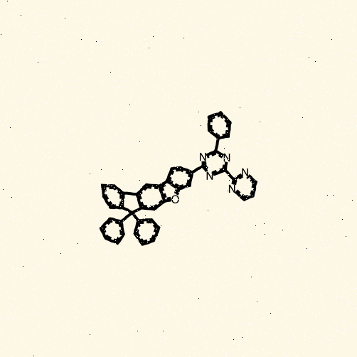 c1ccc(-c2nc(-c3ccc4c(c3)oc3cc5c(cc34)-c3ccccc3C5(c3ccccc3)c3ccccc3)nc(-c3ncccn3)n2)cc1